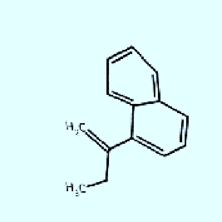 C=C(CC)c1cccc2ccccc12